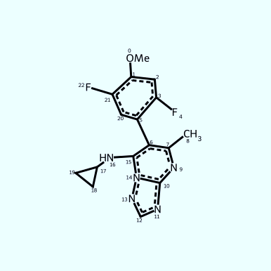 COc1cc(F)c(-c2c(C)nc3ncnn3c2NC2CC2)cc1F